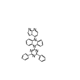 C1=CC2C(N3c4ccccc4N(c4nc(-c5ccccc5)nc(-c5ccccc5)n4)c4ccccc43)=CC=NC2=N1